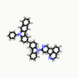 c1ccc(-n2c3ccc(-c4ccc5c(c4)c4ccccc4n5-c4cc5c(cn4)-c4cccc6ccnc-5c46)cc3c3cc4ccccc4cc32)cc1